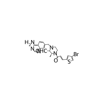 C[C@H]1C(C=O)N(Cc2ccc3c(N)ncnc3c2)CCN1C(=O)C=Cc1cc(Br)cs1